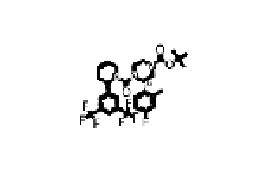 Cc1cc(F)ccc1[C@H]1CN(C(=O)OC(C)(C)C)CCN1C(=O)N1CC=CCC1c1cc(C(F)(F)F)cc(C(F)(F)F)c1